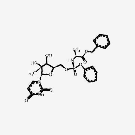 C[C@H](NP(=O)(OC[C@H]1O[C@@H](n2ccc(=O)[nH]c2=S)[C@](C)(O)C1O)Oc1ccccc1)C(=O)OCc1ccccc1